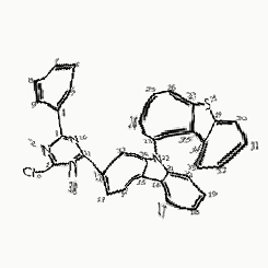 Clc1nc(-c2ccccc2)nc(-c2ccc3c4ccccc4n(-c4cccc5sc6ccccc6c45)c3c2)n1